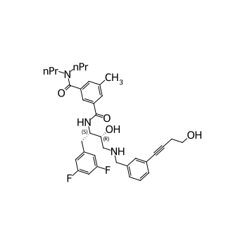 CCCN(CCC)C(=O)c1cc(C)cc(C(=O)N[C@@H](Cc2cc(F)cc(F)c2)[C@H](O)CNCc2cccc(C#CCCO)c2)c1